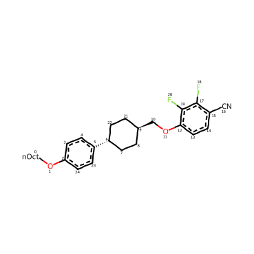 CCCCCCCCOc1ccc([C@H]2CC[C@H](COc3ccc(C#N)c(F)c3F)CC2)cc1